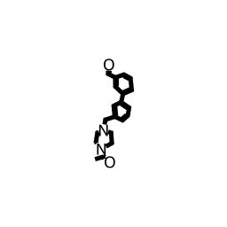 CC(=O)N1CCN(Cc2cccc(-c3cccc(C=O)c3)c2)CC1